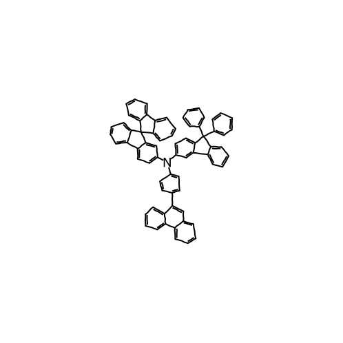 c1ccc(C2(c3ccccc3)c3ccccc3-c3cc(N(c4ccc(-c5cc6ccccc6c6ccccc56)cc4)c4ccc5c(c4)C4(c6ccccc6-c6ccccc64)c4ccccc4-5)ccc32)cc1